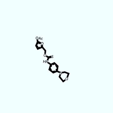 CC(=O)Oc1ccc(COC(=S)Nc2ccc(N3CCOCC3)cc2)o1